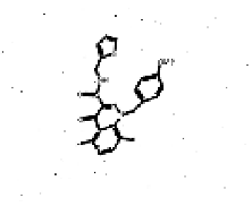 COc1ccc(Cn2nc(C(=O)NCc3ccco3)c(=O)c3c(F)ccc(F)c32)cc1